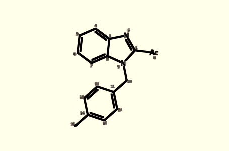 CC(=O)c1nc2ccccc2n1Cc1ccc(C)cc1